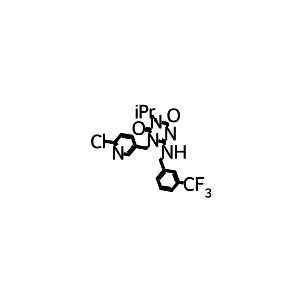 CC(C)n1c(=O)nc(NCc2cccc(C(F)(F)F)c2)n(Cc2ccc(Cl)nc2)c1=O